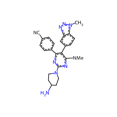 CNc1nc(N2CCC(N)CC2)nc(-c2ccc(C#N)cc2)c1-c1ccc2c(c1)nnn2C